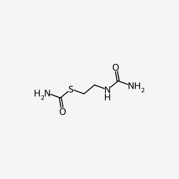 NC(=O)NCCSC(N)=O